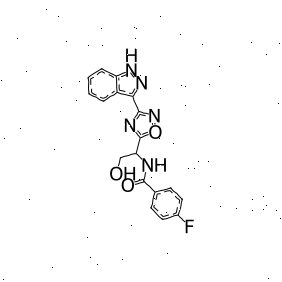 O=C(NC(CO)c1nc(-c2n[nH]c3ccccc23)no1)c1ccc(F)cc1